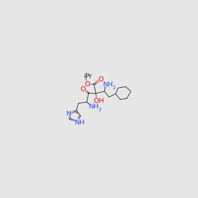 CC(C)OC(=O)C(O)(C(=O)[C@@H](N)Cc1c[nH]cn1)[C@@H](N)CC1CCCCC1